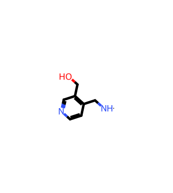 [NH]Cc1ccncc1CO